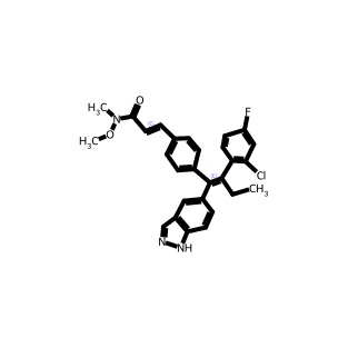 CC/C(=C(/c1ccc(/C=C/C(=O)N(C)OC)cc1)c1ccc2[nH]ncc2c1)c1ccc(F)cc1Cl